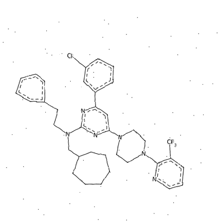 FC(F)(F)c1cccnc1N1CCN(c2cc(-c3cccc(Cl)c3)nc(N(CCc3ccccc3)CC3CCCCCC3)n2)CC1